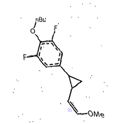 CCCCOc1c(F)cc(C2CC2/C=C\OC)cc1F